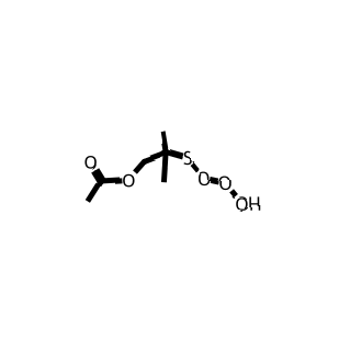 CC(=O)OCC(C)(C)SOOO